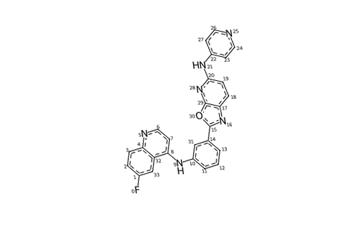 Fc1ccc2nccc(Nc3cccc(-c4nc5ccc(Nc6ccncc6)nc5o4)c3)c2c1